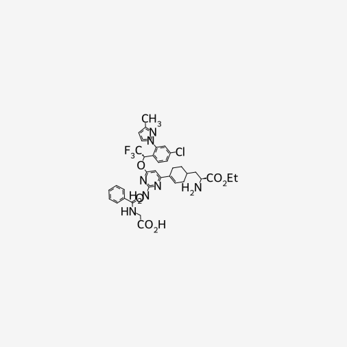 CCOC(=O)[C@@H](N)CC1CC=C(c2cc(O[C@H](c3ccc(Cl)cc3-n3ccc(C)n3)C(F)(F)F)nc(N)n2)CC1.O=C(O)CNC(=O)c1ccccc1